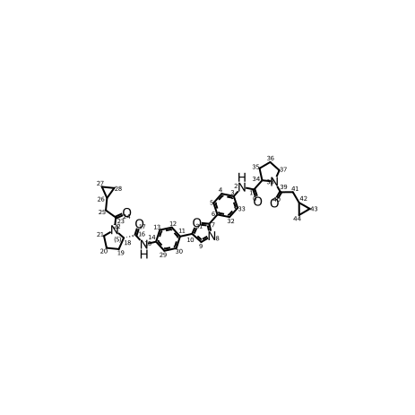 O=C(Nc1ccc(-c2ncc(-c3ccc(NC(=O)[C@@H]4CCCN4C(=O)CC4CC4)cc3)o2)cc1)C1CCCN1C(=O)CC1CC1